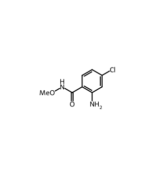 CONC(=O)c1ccc(Cl)cc1N